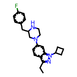 CCc1nn(C2CCC2)c2cc(N3CCNC(Cc4ccc(F)cc4)C3)ccc12